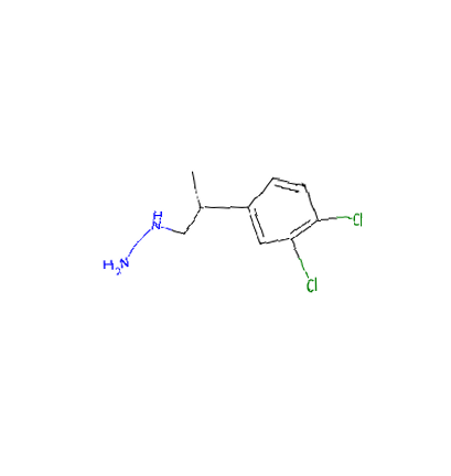 CC(CNN)c1ccc(Cl)c(Cl)c1